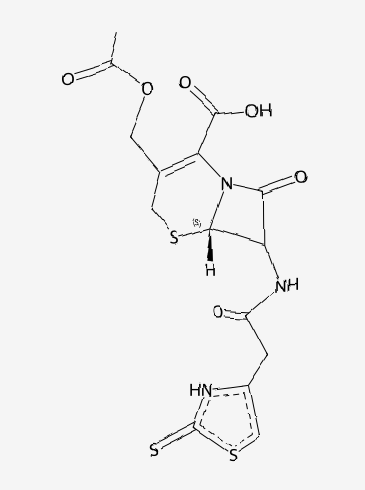 CC(=O)OCC1=C(C(=O)O)N2C(=O)C(NC(=O)Cc3csc(=S)[nH]3)[C@@H]2SC1